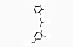 CCCc1c(OCC(O)COc2ccc(CC(=O)O)cc2Br)ccc(C(C)=O)c1O